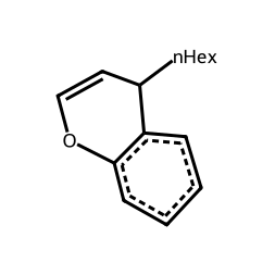 [CH2]CCCCCC1C=COc2ccccc21